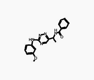 COc1cccc(Nc2ncc(C(C)NC(=O)c3ccccc3)nn2)c1